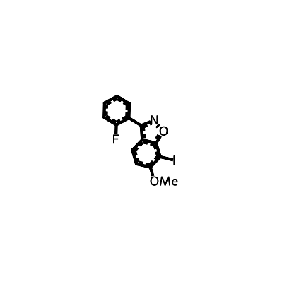 COc1ccc2c(-c3ccccc3F)noc2c1I